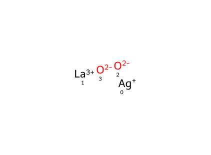 [Ag+].[La+3].[O-2].[O-2]